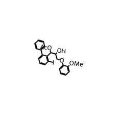 COc1ccccc1OCC(O)C(OC(C)=O)c1c(I)cccc1-c1ccccc1